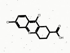 O=C(O)C1CCc2nc3cc(Cl)ccc3c(Cl)c2C1